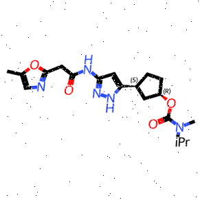 Cc1cnc(CC(=O)Nc2cc([C@H]3CC[C@@H](OC(=O)N(C)C(C)C)C3)[nH]n2)o1